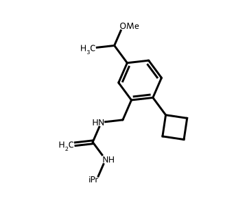 C=C(NCc1cc(C(C)OC)ccc1C1CCC1)NC(C)C